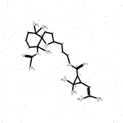 CC(=O)OC1(C)CCCC(C)(C)C12CCC(CCCOC(=O)C1C(C=C(C)C)C1(C)C)O2